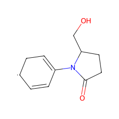 O=C1CCC(CO)N1C1=CC[CH]C=C1